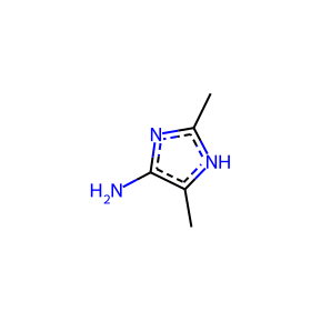 Cc1nc(N)c(C)[nH]1